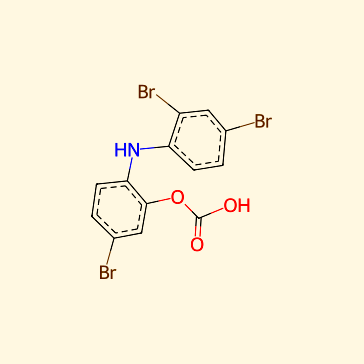 O=C(O)Oc1cc(Br)ccc1Nc1ccc(Br)cc1Br